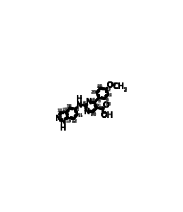 COc1ccc(-c2nc(Nc3ccc4[nH]ncc4c3)ncc2C(=O)O)cc1